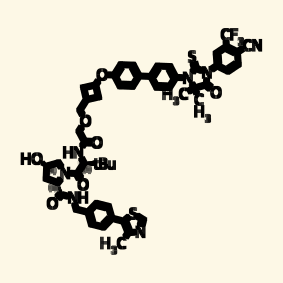 Cc1ncsc1-c1ccc(CNC(=O)[C@@H]2C[C@@H](O)CN2C(=O)[C@@H](NC(=O)COCC2CC(Oc3ccc(-c4ccc(N5C(=S)N(c6ccc(C#N)c(C(F)(F)F)c6)C(=O)C5(C)C)cc4)cc3)C2)C(C)(C)C)cc1